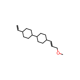 C=CC1CCC(C2CCC(C=CCOC)CC2)CC1